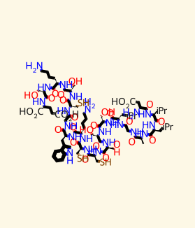 CC(C)C[C@H](NC(=O)CNC(=O)[C@H](C)NC(=O)[C@H](CC(C)C)NC(=O)[C@@H](NC(=O)[C@@H](N)CC(=O)O)C(C)C)C(=O)N[C@@H](CO)C(=O)N[C@@H](CO)C(=O)N[C@@H](CO)C(=O)N[C@@H](CS)C(=O)N[C@@H](CS)C(=O)N[C@@H](CCCCN)C(=O)N[C@@H](Cc1c[nH]c2ccccc12)C(=O)NCC(=O)N[C@@H](CS)C(=O)N[C@@H](CO)C(=O)N[C@@H](CCCCN)C(=O)N[C@@H](CO)C(=O)N[C@@H](CCC(=O)O)C(=O)O